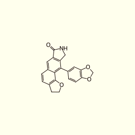 O=C1NCc2c1cc1ccc3c(c1c2-c1ccc2c(c1)OCO2)OCC3